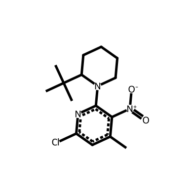 Cc1cc(Cl)nc(N2CCCCC2C(C)(C)C)c1[N+](=O)[O-]